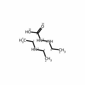 CCNCC.CCNNC(=O)O